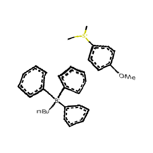 CCCC[B-](c1ccccc1)(c1ccccc1)c1ccccc1.COc1ccc([S+](C)C)cc1